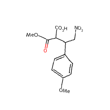 COC(=O)C(C(=O)O)C(C[N+](=O)[O-])c1ccc(OC)cc1